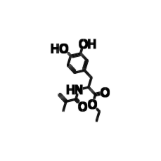 C=C(C)C(=O)NC(Cc1ccc(O)c(O)c1)C(=O)OCC